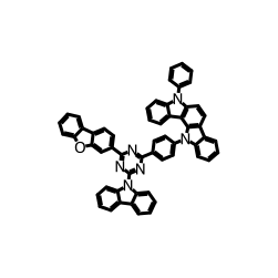 c1ccc(-n2c3ccccc3c3c2ccc2c4ccccc4n(-c4ccc(-c5nc(-c6ccc7c(c6)oc6ccccc67)nc(-n6c7ccccc7c7ccccc76)n5)cc4)c23)cc1